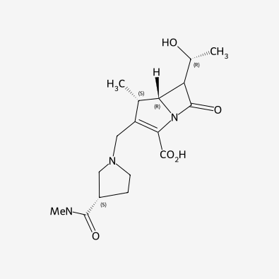 CNC(=O)[C@H]1CCN(CC2=C(C(=O)O)N3C(=O)C([C@@H](C)O)[C@H]3[C@H]2C)C1